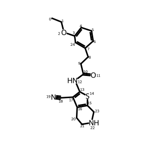 CCOc1cccc(CCC(=O)Nc2sc3c(c2C#N)CCNC3)c1